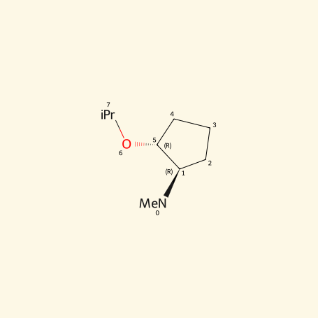 CN[C@@H]1CCC[C@H]1OC(C)C